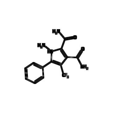 NC(=O)C1=C(C(N)=O)[SH](N)C(c2ccccc2)=C1C(F)(F)F